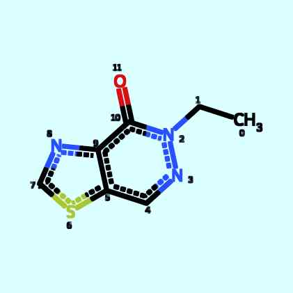 CCn1ncc2s[c]nc2c1=O